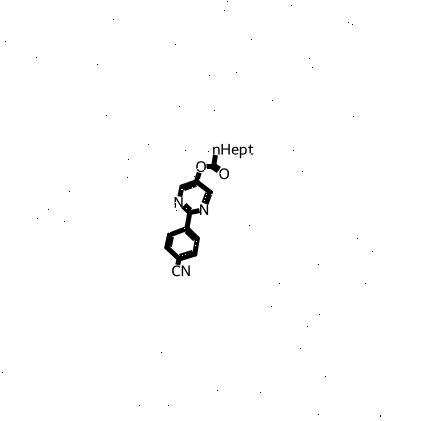 CCCCCCCC(=O)Oc1cnc(-c2ccc(C#N)cc2)nc1